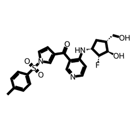 Cc1ccc(S(=O)(=O)n2ccc(C(=O)c3cnccc3N[C@@H]3C[C@H](CO)[C@@H](O)[C@@H]3F)c2)cc1